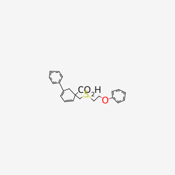 O=C(O)C1(CSCCOc2ccccc2)C=CC=C(c2ccccc2)C1